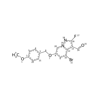 COc1ccc(COc2cc(Br)c3c(C=O)c(F)nn3c2)cc1